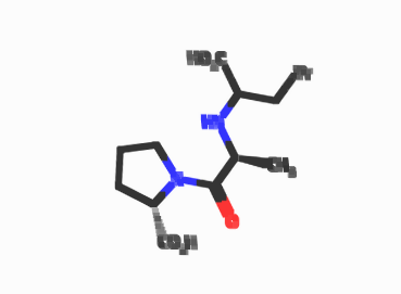 CC(C)CC(N[C@@H](C)C(=O)N1CCC[C@H]1C(=O)O)C(=O)O